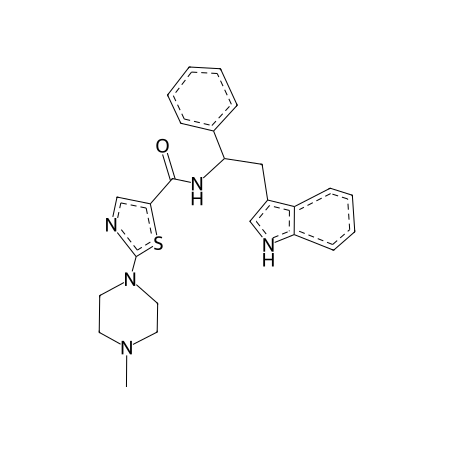 CN1CCN(c2ncc(C(=O)NC(Cc3c[nH]c4ccccc34)c3ccccc3)s2)CC1